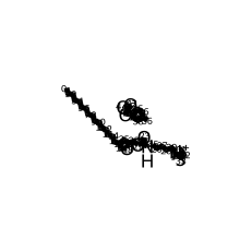 CCCCCCCCCCCCCCCCC1COC(COC(=O)NCCCCC[n+]2ccsc2)C1.Cc1ccc(S(=O)(=O)[O-])cc1